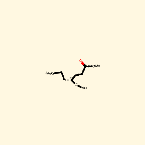 COCC[C@H](CCC(=O)OC)CC(C)(C)C